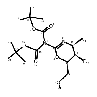 COC[C@H]1OC(N(C(=O)OC(C)(C)C)C(=O)OC(C)(C)C)=N[C@@H](C)[C@H]1F